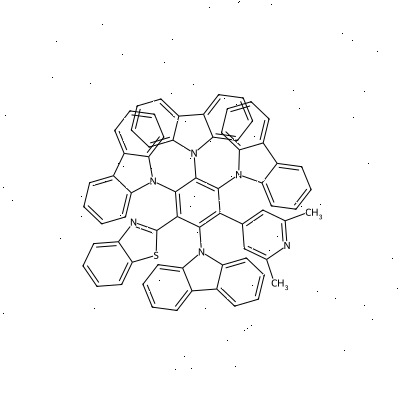 Cc1cc(-c2c(-n3c4ccccc4c4ccccc43)c(-c3nc4ccccc4s3)c(-n3c4ccccc4c4ccccc43)c(-n3c4ccccc4c4ccccc43)c2-n2c3ccccc3c3ccccc32)cc(C)n1